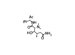 CC(=O)[C@H](NC(=O)[C@@H]([C@H](O)[C@H](C)CC(N)=O)N(C)C)C(C)C